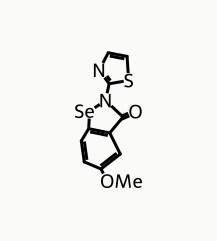 COc1ccc2[se]n(-c3nccs3)c(=O)c2c1